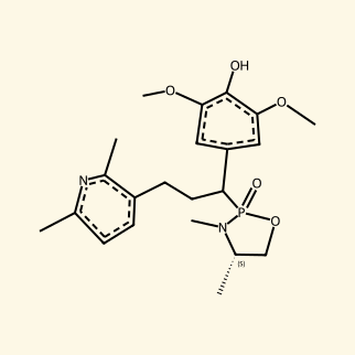 COc1cc(C(CCc2ccc(C)nc2C)P2(=O)OC[C@H](C)N2C)cc(OC)c1O